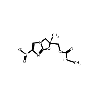 CNC(=O)OC[C@@]1(C)Cn2cc([N+](=O)[O-])nc2O1